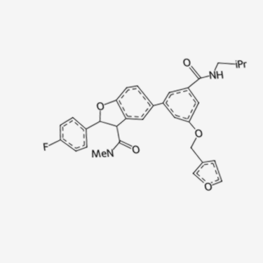 CNC(=O)C1c2cc(-c3cc(OCc4ccoc4)cc(C(=O)NCC(C)C)c3)ccc2OC1c1ccc(F)cc1